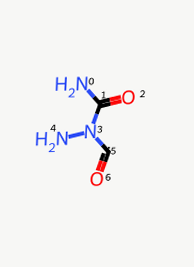 NC(=O)N(N)[C]=O